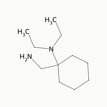 CCN(CC)C1(CN)CCCCC1